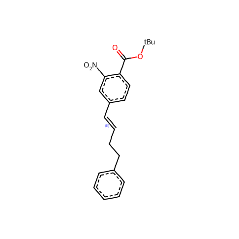 CC(C)(C)OC(=O)c1ccc(/C=C/CCc2ccccc2)cc1[N+](=O)[O-]